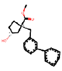 COC(=O)[C@@]1(Cc2cccc(-c3ccccc3)c2)CC[C@@H](O)C1